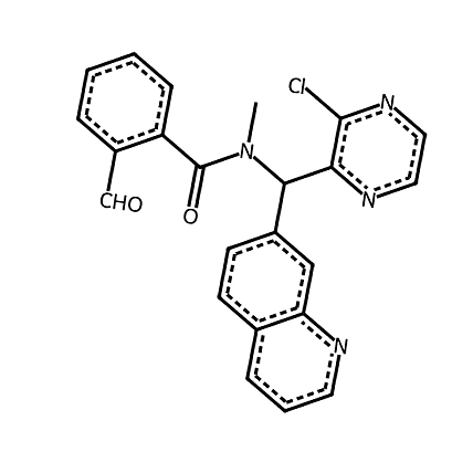 CN(C(=O)c1ccccc1C=O)C(c1ccc2cccnc2c1)c1nccnc1Cl